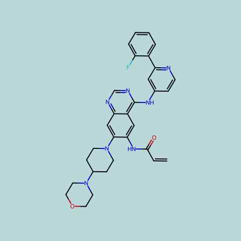 C=CC(=O)Nc1cc2c(Nc3ccnc(-c4ccccc4F)c3)ncnc2cc1N1CCC(N2CCOCC2)CC1